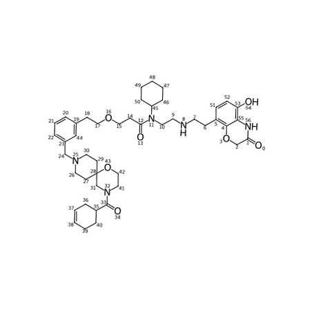 O=C1COc2c(CCNCCN(C(=O)CCOCCc3cccc(CN4CCC5(CC4)CN(C(=O)C4CC=CCC4)CCO5)c3)C3CCCCC3)ccc(O)c2N1